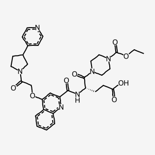 CCOC(=O)N1CCN(C(=O)[C@H](CCC(=O)O)NC(=O)c2cc(OCC(=O)N3CCC(c4ccncc4)C3)c3ccccc3n2)CC1